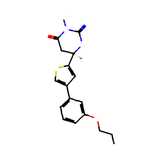 CCCOc1cccc(-c2csc([C@]3(C)CC(=O)N(C)C(=N)N3)c2)c1